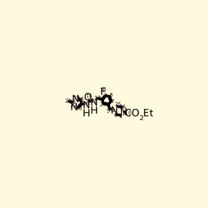 CCOC(=O)N1CCN(Cc2ccc(F)c(CNC(=O)Nc3cnc(C)nc3)c2)CC1